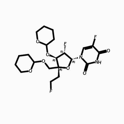 O=c1[nH]c(=O)n([C@@H]2O[C@](CCF)(COC3CCCCO3)[C@@H](OC3CCCCO3)[C@@H]2F)cc1F